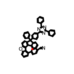 N#Cc1ccc(-c2cccc3oc4ccc5c(c4c23)-c2ccccc2C5(c2ccccc2)c2ccc(-c3nc(-c4ccccc4)nc(-c4ccccc4)n3)cc2)cc1